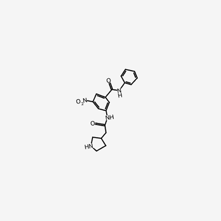 O=C(CC1CCNC1)Nc1cc(C(=O)Nc2ccccc2)cc([N+](=O)[O-])c1